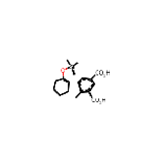 C[Si](C)(C)OC1=CCCCC1.Cc1ccc(C(=O)O)cc1C(=O)O